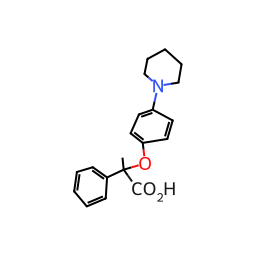 CC(Oc1ccc(N2CCCCC2)cc1)(C(=O)O)c1ccccc1